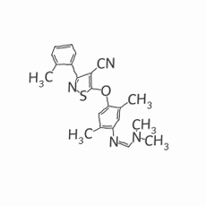 Cc1cc(Oc2snc(-c3ccccc3C)c2C#N)c(C)cc1/N=C\N(C)C